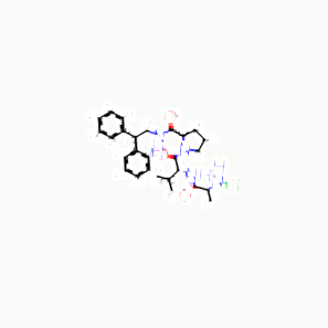 CC(NCl)C(=O)N[C@H](C(=O)N1CCCC1C(=O)NCC(c1ccccc1)c1ccccc1)C(C)C